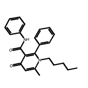 CCCCCn1c(C)cc(=O)c(C(=O)Nc2ccccc2)c1-c1ccccc1